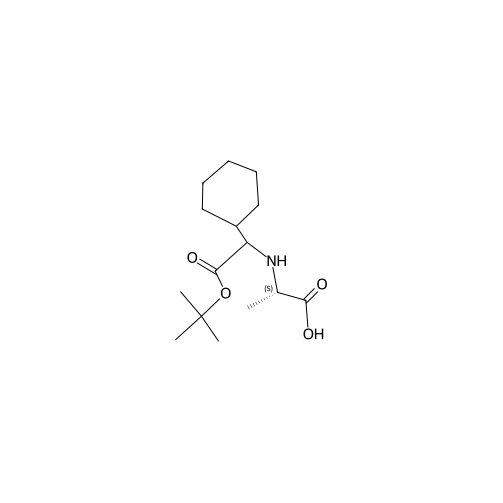 C[C@H](NC(C(=O)OC(C)(C)C)C1CCCCC1)C(=O)O